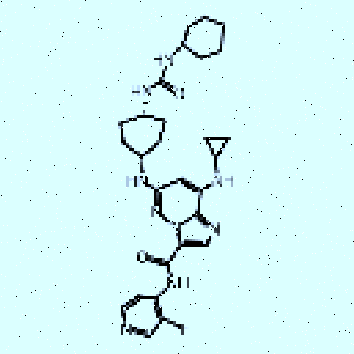 O=C(NC1CCCCC1)N[C@H]1CC[C@H](Nc2cc(NC3CC3)c3ncc(C(=O)Nc4ccncc4F)n3n2)CC1